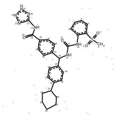 CS(=O)(=O)c1ccccc1NC(=O)NC(c1ccc(C(=O)Nc2nn[nH]n2)cc1)c1ccc(C2CCCCC2)cc1